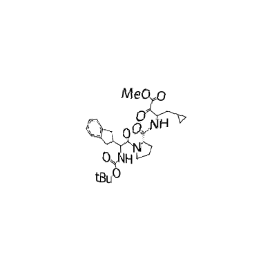 COC(=O)C(=O)C(CC1CC1)NC(=O)[C@@H]1CCCN1C(=O)C(NC(=O)OC(C)(C)C)C1Cc2ccccc2C1